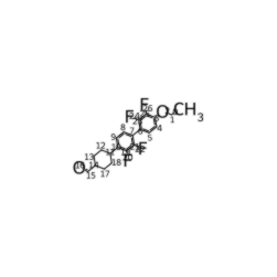 CCOc1ccc(-c2ccc(C3CCC(C=O)CC3)c(F)c2F)c(F)c1F